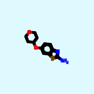 Nc1nc2ccc(OC3CCOCC3)cc2s1